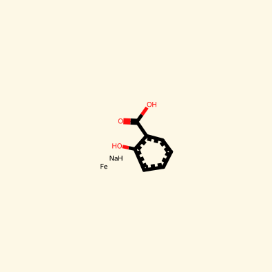 O=C(O)c1ccccc1O.[Fe].[NaH]